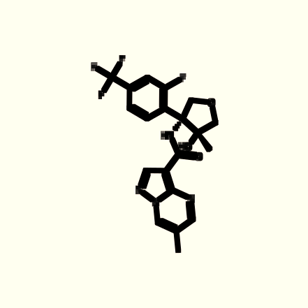 Cc1cnc2c(C(=O)N[C@]3(c4ccc(C(F)(F)F)cc4F)COC[C@]3(C)O)cnn2c1